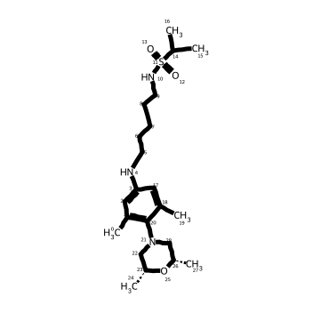 Cc1cc(NCCCCCNS(=O)(=O)C(C)C)cc(C)c1N1C[C@@H](C)O[C@@H](C)C1